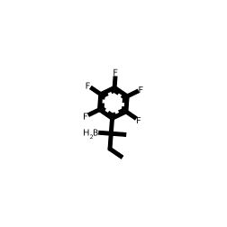 BC(C)(CC)c1c(F)c(F)c(F)c(F)c1F